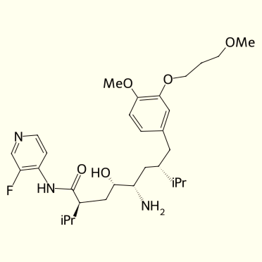 COCCCOc1cc(C[C@@H](C[C@H](N)[C@@H](O)C[C@H](C(=O)Nc2ccncc2F)C(C)C)C(C)C)ccc1OC